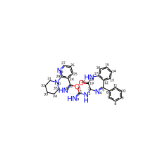 N=C(NC1N=C(c2ccccc2)c2ccccc2NC1=O)OC(=N)c1cccnc1N1CCCCC1